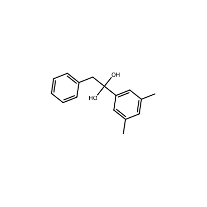 Cc1cc(C)cc(C(O)(O)Cc2ccccc2)c1